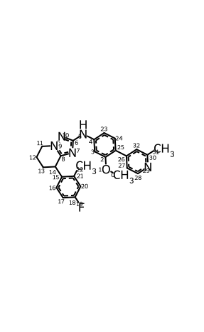 COc1cc(Nc2nc3n(n2)CCCC3c2ccc(F)cc2C)ccc1-c1ccnc(C)c1